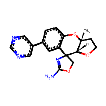 C[C@@]12CCO[C@@H]1C1(COC(N)=N1)c1cc(-c3cncnc3)ccc1O2